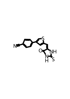 N#Cc1ccc(-c2csc(C=C3NC(=S)NC3=O)c2)cc1